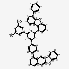 N#Cc1cc(N=O)cc(-c2nc(-c3ccc(-c4cccc5cc6oc7ccccc7c6cc45)cc3)nc(-c3cccc4sc5c(-c6ccccc6)cccc5c34)n2)c1